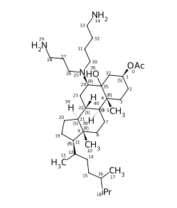 CC(=O)O[C@H]1CC[C@]2(C)[C@H]3CC[C@]4(C)[C@@H](C(C)CCC(C)C(C)C)CC[C@H]4[C@@H]3C[C@@H](N(CCCN)CCCCN)C2(O)C1